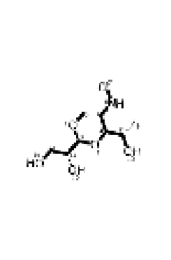 CO[C@@H](OC(CNCl)[C@H](C)O)[C@H](O)CO